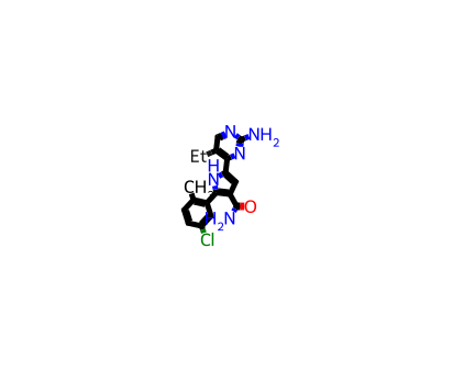 CCc1cnc(N)nc1-c1cc(C(N)=O)c(-c2cc(Cl)ccc2C)[nH]1